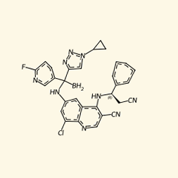 BC(Nc1cc(Cl)c2ncc(C#N)c(N[C@H](CC#N)c3ccccc3)c2c1)(c1ccc(F)nc1)c1cn(C2CC2)nn1